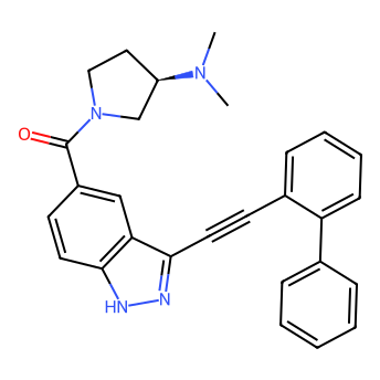 CN(C)[C@@H]1CCN(C(=O)c2ccc3[nH]nc(C#Cc4ccccc4-c4ccccc4)c3c2)C1